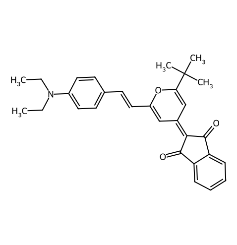 CCN(CC)c1ccc(C=CC2=CC(=C3C(=O)c4ccccc4C3=O)C=C(C(C)(C)C)O2)cc1